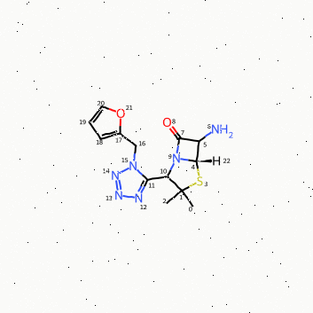 CC1(C)S[C@H]2C(N)C(=O)N2C1c1nnnn1Cc1ccco1